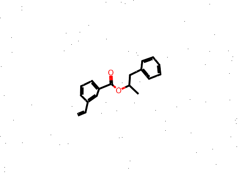 C=Cc1cccc(C(=O)OC(C)Cc2ccccc2)c1